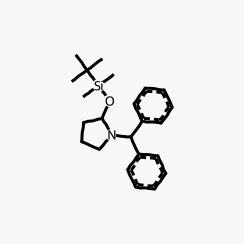 CC(C)(C)[Si](C)(C)OC1CCCN1C(c1ccccc1)c1ccccc1